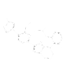 COc1nc(-c2nc3n(n2)CCCC3c2c(Cl)cccc2CC(C)O)ccc1-n1cnc(C)c1